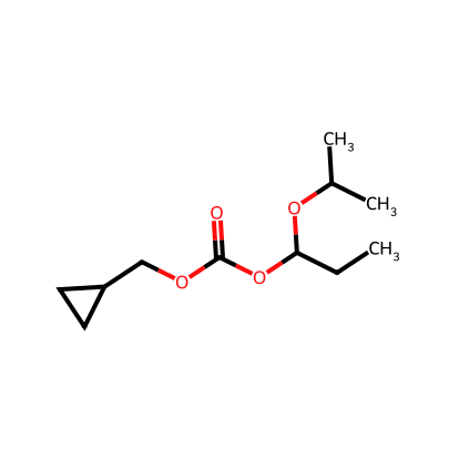 CCC(OC(=O)OCC1CC1)OC(C)C